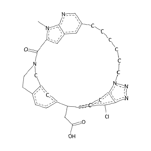 Cn1c2cc3cc(cnc31)CCCCCCn1nnc3c(Cl)c(ccc31)C(CC(=O)O)c1ccc3c(c1)CN(CC3)C2=O